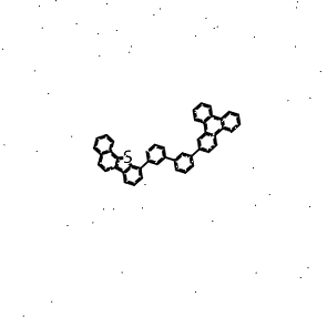 c1cc(-c2cccc(-c3cccc4c3sc3c5ccccc5ccc43)c2)cc(-c2ccc3c4ccccc4c4ccccc4c3c2)c1